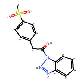 CS(=O)(=O)c1ccc(CC(=O)n2nnc3ccccc32)cc1